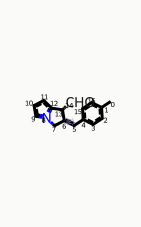 Cc1ccc(/C=C2/Cn3cccc3C2C=O)cc1